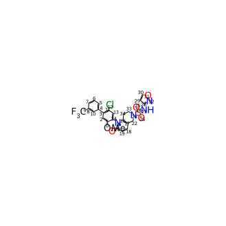 COc1cc(-c2cccc(C(F)(F)F)c2)c(Cl)cc1-n1c2c(ccc1=O)CN(S(=O)(=O)Nc1ccon1)CC2